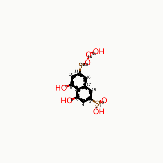 O=S(O)c1cc(O)c2c(O)cc(SOOO)cc2c1